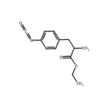 CCOC(=O)C(C)Cc1ccc(N=C=O)cc1